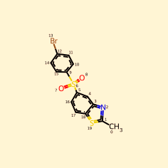 Cc1nc2cc(S(=O)(=O)c3ccc(Br)cc3)ccc2s1